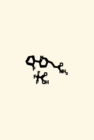 NC(=O)CCc1ccc(-c2ccccc2F)nc1.O=C(O)C(F)(F)F